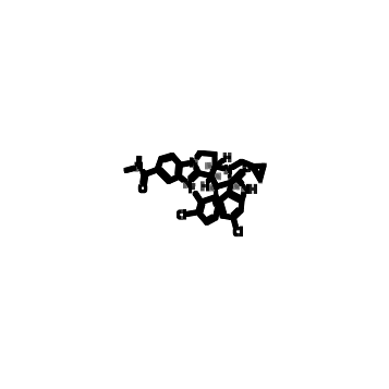 CN(C)C(=O)c1ccc2c(c1)nc1n2CC[C@H]2[C@@H]1[C@H](c1cccc(Cl)c1F)[C@]1(C(=O)Nc3cc(Cl)ccc31)N2CC1CC1